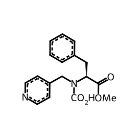 COC(=O)[C@H](Cc1ccccc1)N(Cc1ccncc1)C(=O)O